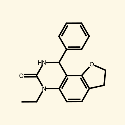 CCN1C(=O)NC(c2ccccc2)c2c1ccc1c2OCC1